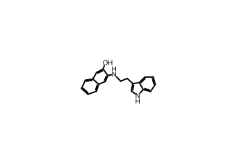 Oc1cc2ccccc2cc1NCCc1c[nH]c2ccccc12